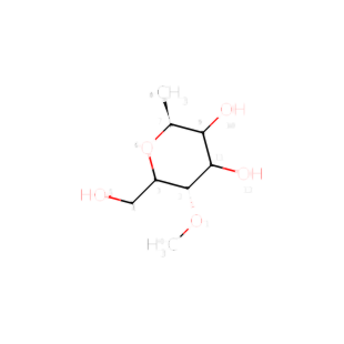 CO[C@@H]1C(CO)O[C@@H](C)C(O)C1O